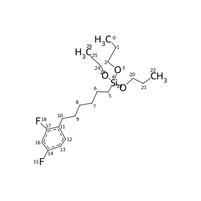 CCCO[Si](CCCCCCc1ccc(F)cc1F)(OCCC)OCCC